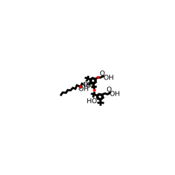 CC(C)(C)c1cc(CCC(=O)O)cc(C(C)(C)C)c1O.CC(C)(C)c1cc(CCC(=O)O)cc(C(C)(C)C)c1O.CCCCCCCCC(O)CO